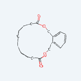 O=C1CCCCCCCCC(=O)OCc2ccccc2CO1